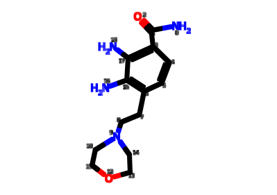 NC(=O)c1ccc(CCN2CCOCC2)c(N)c1N